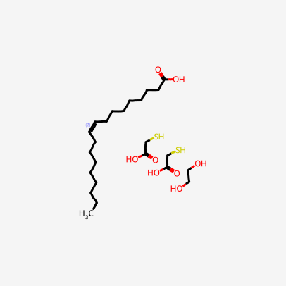 CCCCCCCC/C=C\CCCCCCCC(=O)O.O=C(O)CS.O=C(O)CS.OCCO